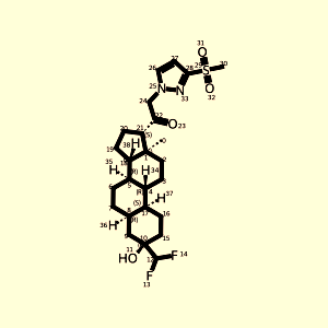 C[C@]12CC[C@H]3[C@@H](CC[C@@H]4C[C@@](O)(C(F)F)CC[C@@H]43)[C@@H]1CC[C@@H]2C(=O)Cn1ccc(S(C)(=O)=O)n1